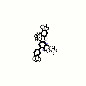 C/C=c1/c(-c2ccc3c(c2)OCO3)ccc(OC2CCC(C)C(N=O)C2O)/c1=C/C